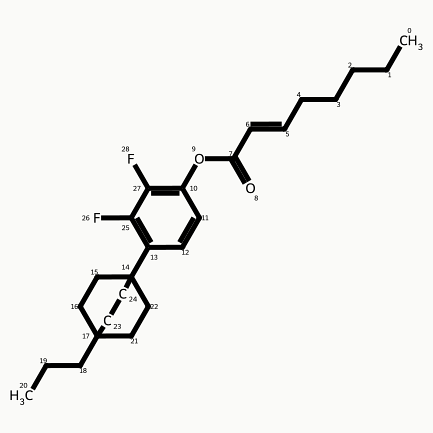 CCCCC/C=C/C(=O)Oc1ccc(C23CCC(CCC)(CC2)CC3)c(F)c1F